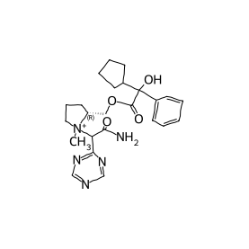 C[N+]1(C(C(N)=O)c2ncncn2)CCC[C@@H]1COC(=O)C(O)(c1ccccc1)C1CCCC1